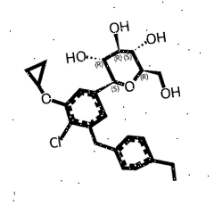 CCc1ccc(Cc2cc([C@@H]3O[C@H](CO)[C@@H](O)[C@H](O)[C@H]3O)cc(OC3CC3)c2Cl)cc1